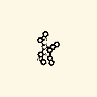 c1ccc2cc(-c3nc(-c4ccc5oc6ccccc6c5c4-n4c5ccccc5c5cc6ccccc6cc54)nc(-c4cccc5c4oc4ccccc45)n3)ccc2c1